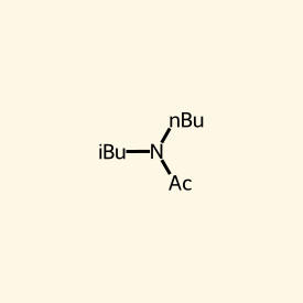 [CH2]C(=O)N(CCCC)C(C)CC